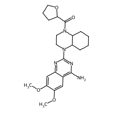 COc1cc2nc(N3CCN(C(=O)C4CCCO4)C4CCCCC43)nc(N)c2cc1OC